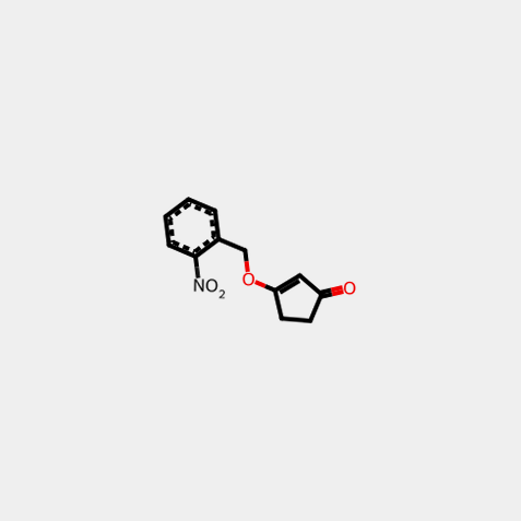 O=C1C=C(OCc2ccccc2[N+](=O)[O-])CC1